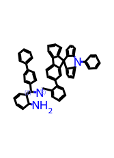 NC1C=CC=C/C1=C(/N=C/c1ccccc1-c1ccc2c(c1)C1(c3ccccc3-2)c2ccccc2N(c2ccccc2)c2ccccc21)c1ccc(-c2ccccc2)cc1